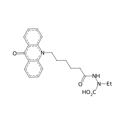 CCN(NC(=O)CCCCCn1c2ccccc2c(=O)c2ccccc21)C(=O)O